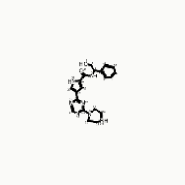 O=C(NC(CO)c1ccccc1)c1cc(-c2ncnc(N3CCNCC3)n2)c[nH]1